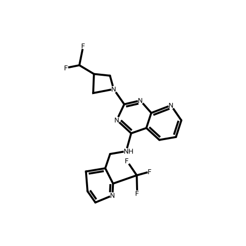 FC(F)C1CN(c2nc(NCc3cccnc3C(F)(F)F)c3cccnc3n2)C1